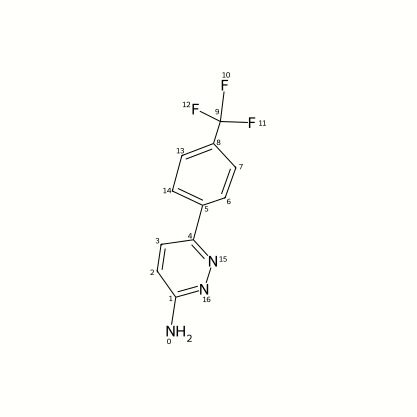 Nc1ccc(-c2ccc(C(F)(F)F)cc2)nn1